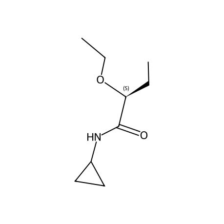 CCO[C@@H](CC)C(=O)NC1CC1